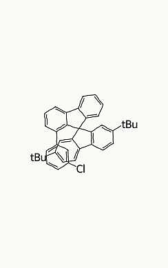 CC(C)(C)c1ccc2c(c1)C1(c3cc(C(C)(C)C)ccc3-2)c2ccccc2-c2cccc(-c3cccc(Cl)c3)c21